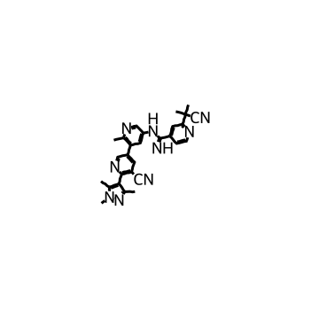 Cc1ncc(NC(=N)c2ccnc(C(C)(C)C#N)c2)cc1-c1cnc(-c2c(C)nn(C)c2C)c(C#N)c1